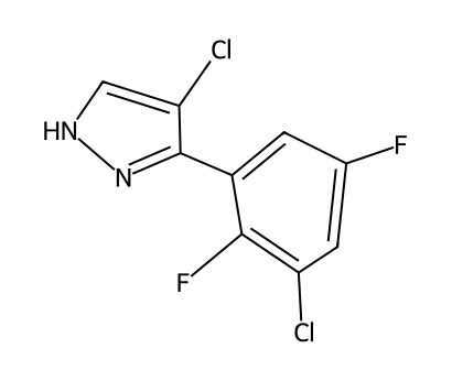 Fc1cc(Cl)c(F)c(-c2n[nH]cc2Cl)c1